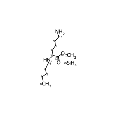 CCCCCNC(CCCCN)C(=O)OC.[SiH4]